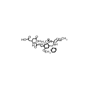 CCCC[C@]1(CC)C[SH](C)(=O)c2cc(CNC(=O)CNC(CC(=O)O)CC(=O)O)c(OC)cc2[C@@H](c2ccccc2)N1